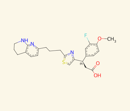 COc1ccc([C@@H](CC(=O)O)c2csc(CCCc3ccc4c(n3)NCCC4)n2)cc1F